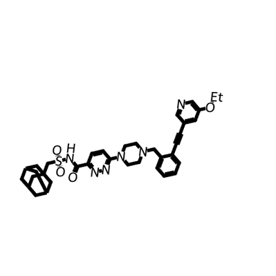 CCOc1cncc(C#Cc2ccccc2CN2CCN(c3ccc(C(=O)NS(=O)(=O)CC45CC6CC(CC(C6)C4)C5)nn3)CC2)c1